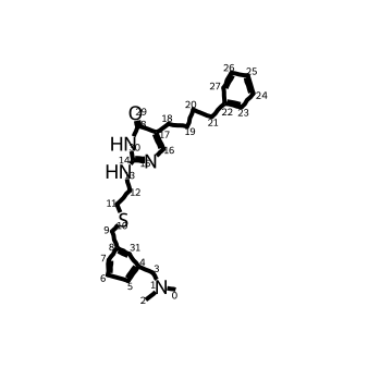 CN(C)Cc1cccc(CSCCNc2ncc(CCCCc3ccccc3)c(=O)[nH]2)c1